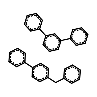 c1ccc(-c2cccc(-c3ccccc3)c2)cc1.c1ccc(Cc2ccc(-c3ccccc3)cc2)cc1